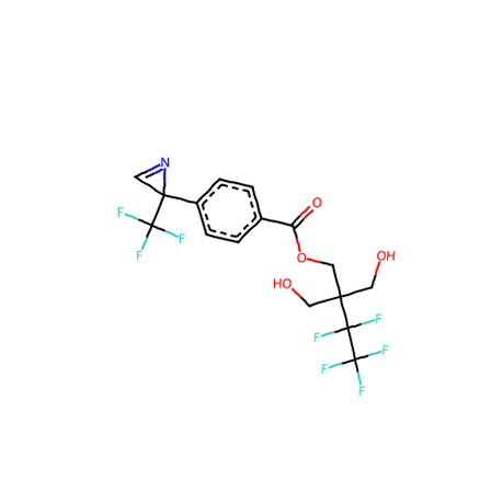 O=C(OCC(CO)(CO)C(F)(F)C(F)(F)F)c1ccc(C2(C(F)(F)F)C=N2)cc1